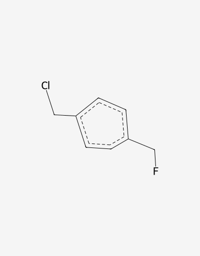 FCc1ccc(CCl)cc1